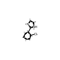 Clc1ccccc1-c1n[c]c[nH]1